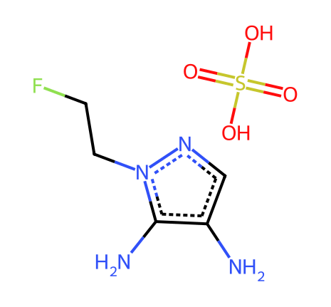 Nc1cnn(CCF)c1N.O=S(=O)(O)O